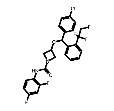 O=C(Nc1ccc(F)cc1F)N1CC(OC(c2ccc(Cl)cc2)c2ccccc2C(F)(F)CF)C1